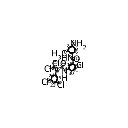 Cc1cc(N)ccc1NC(=O)c1cc(NC(=O)[C@@H]2C(c3cc(Cl)cc(Cl)c3)C2(Cl)Cl)ccc1Cl